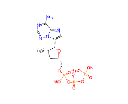 C[C@H]1C[C@@H](COP(=O)(O)OP(=O)(O)OP(=O)(O)O)O[C@H]1c1cnc2c(N)ncnn12